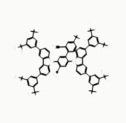 N#Cc1cc(C(F)(F)F)ccc1-c1cc(-n2c3ccc(-c4cc(C(F)(F)F)cc(C(F)(F)F)c4)cc3c3cc(-c4cc(C(F)(F)F)cc(C(F)(F)F)c4)ccc32)c(C#N)cc1-n1c2ccc(-c3cc(C(F)(F)F)cc(C(F)(F)F)c3)cc2c2cc(-c3cc(C(F)(F)F)cc(C(F)(F)F)c3)ccc21